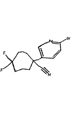 N#CC1(c2ccc(Br)nc2)CCC(F)(F)CC1